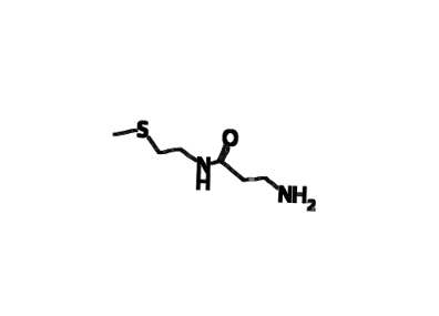 CSCCNC(=O)CCN